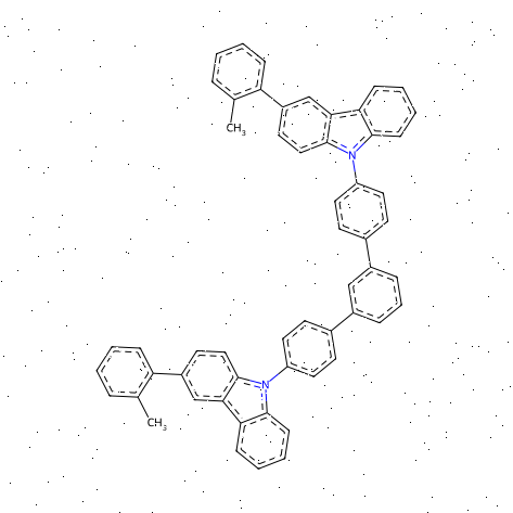 Cc1ccccc1-c1ccc2c(c1)c1ccccc1n2-c1ccc(-c2cccc(-c3ccc(-n4c5ccccc5c5cc(-c6ccccc6C)ccc54)cc3)c2)cc1